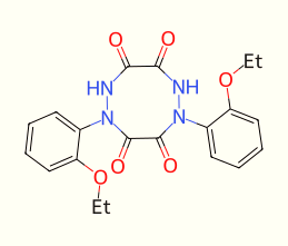 CCOc1ccccc1N1NC(=O)C(=O)NN(c2ccccc2OCC)C(=O)C1=O